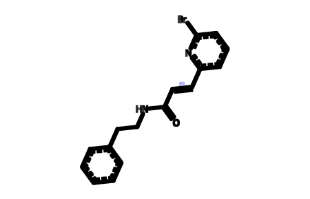 O=C(/C=C/c1cccc(Br)n1)NCCc1ccccc1